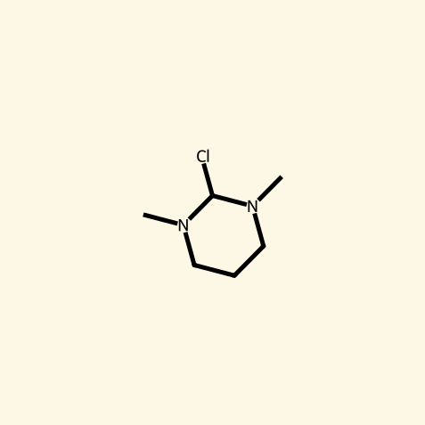 CN1CCCN(C)C1Cl